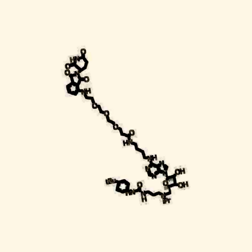 CC(C)N(CCCNC(=O)Nc1ccc(C(C)(C)C)cc1)C[C@H]1O[C@@H](n2cnc3c(NCCCCNC(=O)CCOCCOCCOCCNc4cccc5c4C(=O)N(C4CCC(=O)NC4=O)C5=O)ncnc32)C(O)C1O